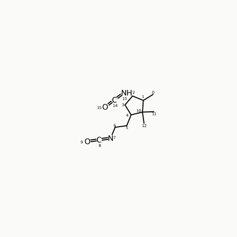 CC1CCC(CCN=C=O)C1(C)C.N=C=O